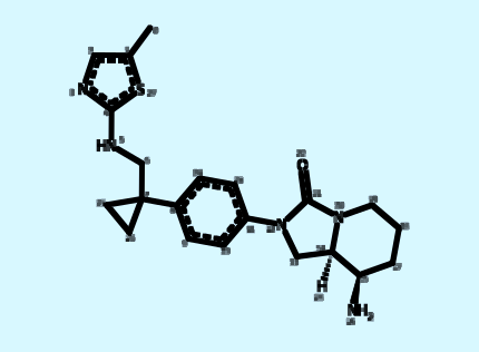 Cc1cnc(NCC2(c3ccc(N4C[C@@H]5[C@H](N)CCCN5C4=O)cc3)CC2)s1